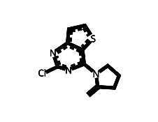 C=C1CCCN1c1nc(Cl)nc2ccsc12